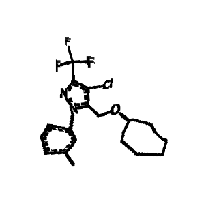 Cc1cccc(-n2nc(C(F)(F)F)c(Cl)c2COC2CCCCC2)c1